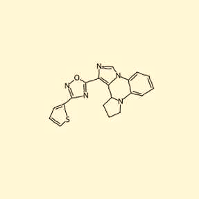 c1csc(-c2noc(-c3ncn4c3C3CCCN3c3ccccc3-4)n2)c1